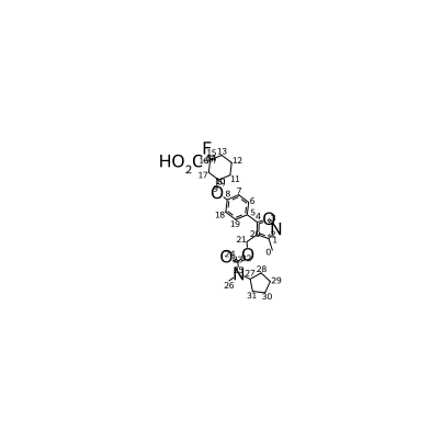 Cc1noc(-c2ccc(O[C@H]3CCC[C@@](F)(C(=O)O)C3)cc2)c1COC(=O)N(C)C1CCCC1